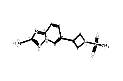 CS(=O)(=O)N1CC(c2ccc3nc(N)nn3c2)C1